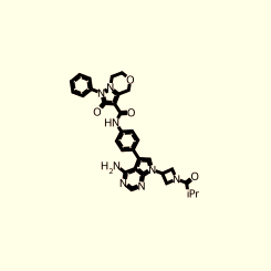 CC(C)C(=O)N1CC(n2cc(-c3ccc(NC(=O)c4c5n(n(-c6ccccc6)c4=O)CCOC5)cc3)c3c(N)ncnc32)C1